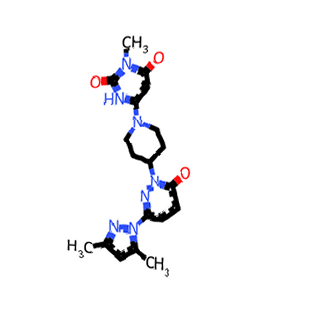 Cc1cc(C)n(-c2ccc(=O)n(C3CCN(c4cc(=O)n(C)c(=O)[nH]4)CC3)n2)n1